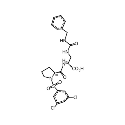 O=C(NCc1ccccc1)NC[C@H](NC(=O)[C@@H]1CCCN1S(=O)(=O)c1cc(Cl)cc(Cl)c1)C(=O)O